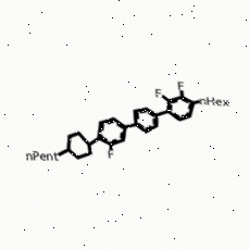 CCCCCCc1ccc(-c2ccc(-c3ccc(C4CCC(CCCCC)CC4)c(F)c3)cc2)c(F)c1F